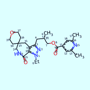 CCn1nc(C[C@@H](C)COC(=O)c2cc(C)nc(C)c2)c2c1C(=O)NCC1(CCOCC1)C2